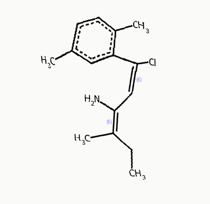 CC/C(C)=C(N)\C=C(\Cl)c1cc(C)ccc1C